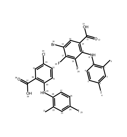 Cc1cc(I)ccc1Nc1c(C(=O)O)cc(Br)c(F)c1F.Cc1cc(I)ccc1Nc1ccc(Cl)cc1C(=O)O